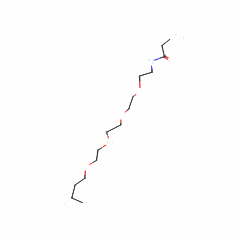 CC(C)[C@@H](C)CCOCCOCCOCCOCCNC(=O)CC(C)(C)C